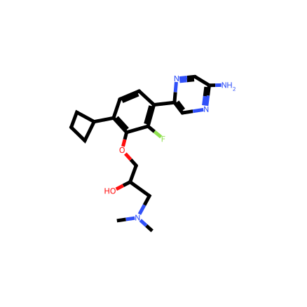 CN(C)CC(O)COc1c(C2CCC2)ccc(-c2cnc(N)cn2)c1F